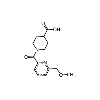 COCc1cccc(C(=O)N2CCC(C(=O)O)CC2)n1